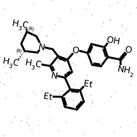 CCc1cccc(CC)c1-c1cc(Oc2ccc(C(N)=O)c(O)c2)c(CN2C[C@H](C)C[C@@H](C)C2)c(C)n1